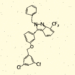 FC(F)(F)c1cccc2c(-c3cccc(OCc4cc(Cl)cc(Cl)c4)c3)n(Cc3ccccc3)nc12